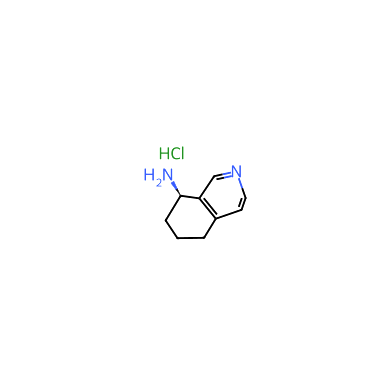 Cl.N[C@@H]1CCCc2ccncc21